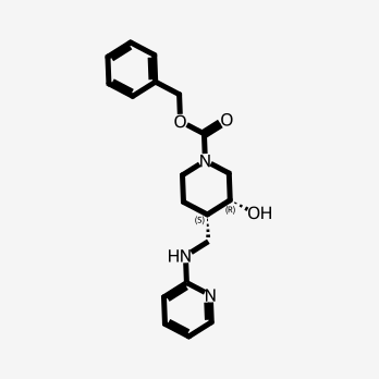 O=C(OCc1ccccc1)N1CC[C@@H](CNc2ccccn2)[C@@H](O)C1